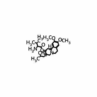 COc1cc2c(cc1OC)[C@H]1C[C@@H](OC(=O)C(N)C(C)C)[C@H](CC(C)C)CN1CC2